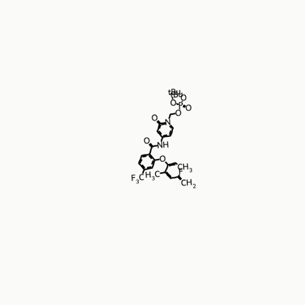 C=C(F)/C=C(C)\C(=C/C)Oc1cc(C(F)(F)F)ccc1C(=O)Nc1ccn(COP(=O)(OC(C)(C)C)OC(C)(C)C)c(=O)c1